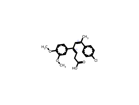 COc1ccc(C(/C=C(/C)c2ccc(Cl)cc2)=C\CC(=O)O)cc1OC